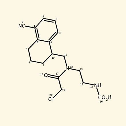 N#Cc1cccc2c1CCCC2CN(CCNC(=O)O)C(=O)CCl